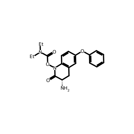 CCN(CC)C(=O)ON1C(=O)[C@@H](N)Cc2cc(Oc3ccccc3)ccc21